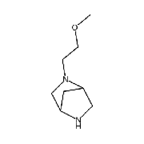 COCCN1CC2CC1CN2